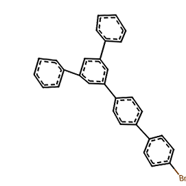 Brc1ccc(-c2ccc(-c3cc(-c4ccccc4)cc(-c4ccccc4)c3)cc2)cc1